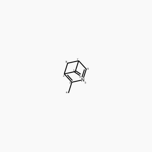 C=C1C2=C(C)N=CC1C2